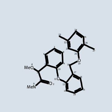 CNC(=O)C(OC)c1ccccc1Oc1ccccc1COc1cc(C)ccc1C